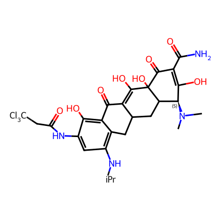 CC(C)Nc1cc(NC(=O)CC(Cl)(Cl)Cl)c(O)c2c1CC1CC3[C@H](N(C)C)C(O)=C(C(N)=O)C(=O)C3(O)C(O)=C1C2=O